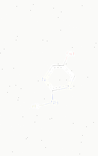 Oc1cnc(NS)nc1